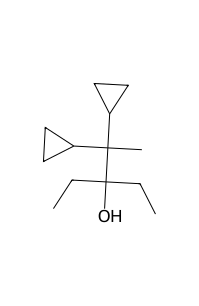 CCC(O)(CC)C(C)(C1CC1)C1CC1